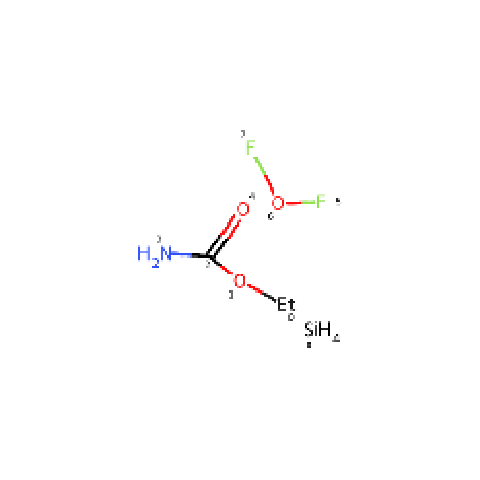 CCOC(N)=O.FOF.[SiH4]